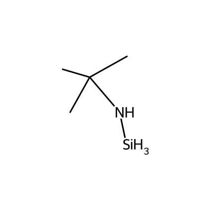 CC(C)(C)N[SiH3]